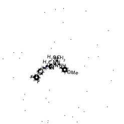 COc1ccc(CNc2nc(N(C)C)nc(-n3ncc(/C=C/CN4CCN(c5cc(F)cc(F)c5)CC4)c3C)n2)cc1